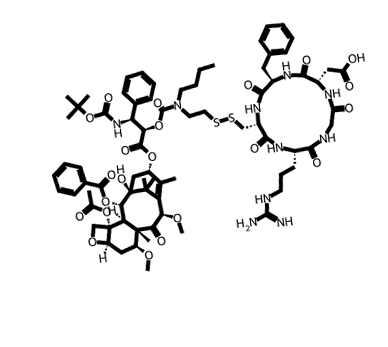 CCCCN(CCSSC[C@@H]1NC(=O)[C@@H](Cc2ccccc2)NC(=O)[C@H](CC(=O)O)NC(=O)CNC(=O)[C@H](CCCNC(=N)N)NC1=O)C(=O)O[C@@H](C(=O)O[C@H]1C[C@@]2(O)[C@@H](OC(=O)c3ccccc3)[C@@H]3[C@]4(OC(C)=O)CO[C@@H]4C[C@H](OC)[C@@]3(C)C(=O)[C@H](OC)C(=C1C)C2(C)C)[C@@H](NC(=O)OC(C)(C)C)c1ccccc1